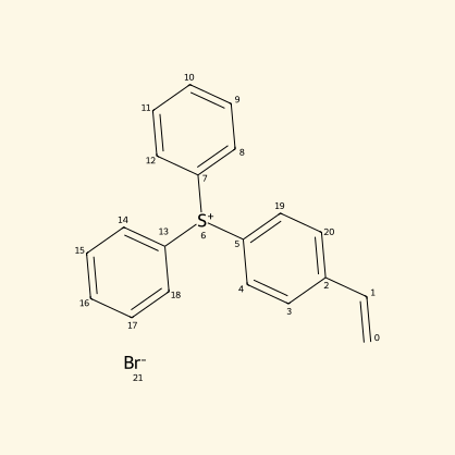 C=Cc1ccc([S+](c2ccccc2)c2ccccc2)cc1.[Br-]